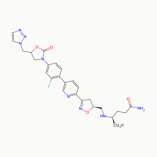 NC(=O)CC[C@H](NC[C@@H]1CC(c2ccc(-c3ccc(N4CC(Cn5ccnn5)OC4=O)cc3F)cn2)=NO1)C(=O)O